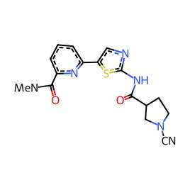 CNC(=O)c1cccc(-c2cnc(NC(=O)C3CCN(C#N)C3)s2)n1